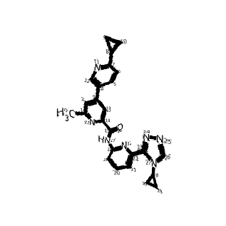 Cc1cc(-c2ccc(C3CC3)nc2)cc(C(=O)Nc2cccc(-c3nncn3C3CC3)n2)n1